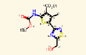 CCOC(=O)c1c(NC(=O)OC(C)(C)C)sc(-c2nsc(CO)n2)c1C